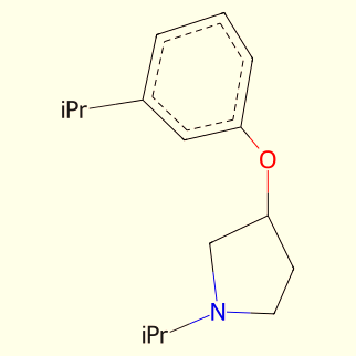 CC(C)c1cccc(OC2CCN(C(C)C)C2)c1